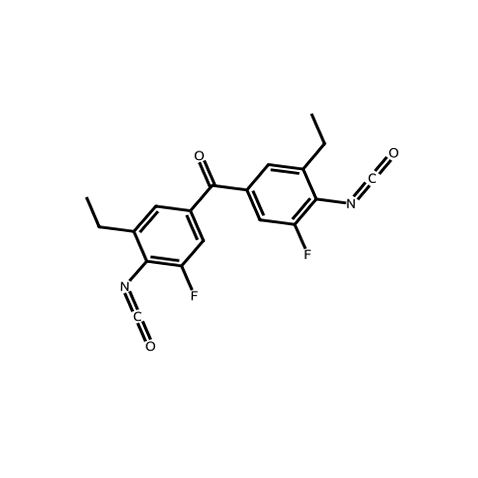 CCc1cc(C(=O)c2cc(F)c(N=C=O)c(CC)c2)cc(F)c1N=C=O